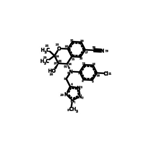 Cn1nnc(CN(c2ccc(Cl)cc2)[C@H]2c3cc(C#N)ccc3OC(C)(C)[C@@H]2O)n1